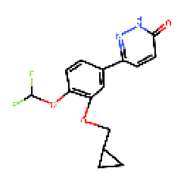 O=c1ccc(-c2ccc(OC(F)F)c(OCC3CC3)c2)n[nH]1